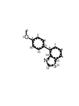 COc1ccc(-c2cccc3s[c]nc23)cc1